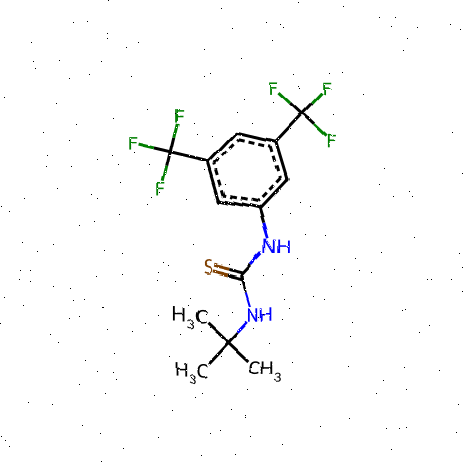 CC(C)(C)NC(=S)Nc1cc(C(F)(F)F)cc(C(F)(F)F)c1